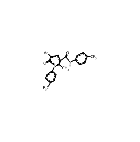 CC(=O)c1cc(C(=O)Nc2ccc(C(F)(F)F)cc2)c(C)n(-c2ccc(C(F)(F)F)cc2)c1=O